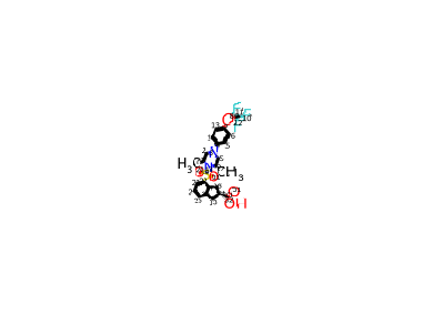 CC1CN(c2ccc(OC(F)(F)F)cc2)CC(C)N1S(=O)(=O)c1cccc2c1C[C@@H](C(=O)O)C2